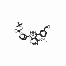 CC(C)(C)OC(=O)N1CC2CC(Nc3ncnc(N)c3C(=N)c3cccc(C=O)c3)C1C2